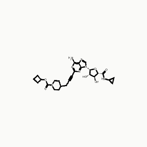 Nc1nc(C#CCC2CCN(C(=O)OC3CCC3)CC2)nc2c1ncn2[C@@H]1O[C@H](C(=O)NC2CC2)[C@@H](O)[C@@H]1O